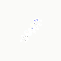 Cc1csc(C(=O)O[C@H]2CNC(Cc3ccnnc3)C2)c1